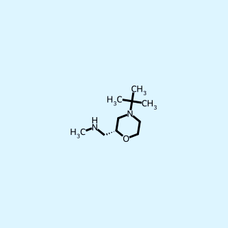 CNC[C@@H]1CN(C(C)(C)C)CCO1